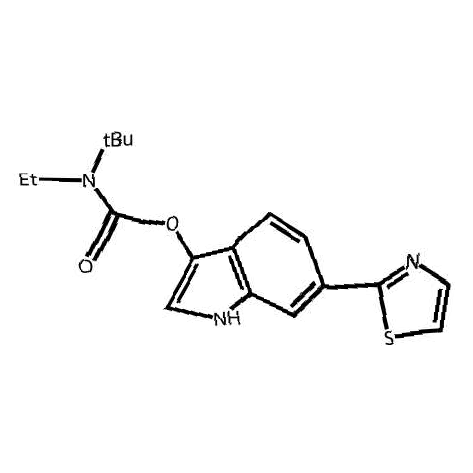 CCN(C(=O)Oc1c[nH]c2cc(-c3nccs3)ccc12)C(C)(C)C